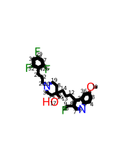 COc1ccc2ncc(CF)c(CCCC3(CO)CCN(CCCc4c(F)cc(F)cc4F)CC3)c2c1